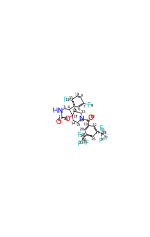 O=C1NCC(c2cc(F)ccc2F)C2(CCN(C(=O)c3cc(C(F)(F)F)cc(C(F)(F)F)c3)CC2)O1